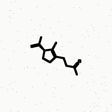 C=C(C)[C@@H]1CCC(CCC(C)=O)=C1C